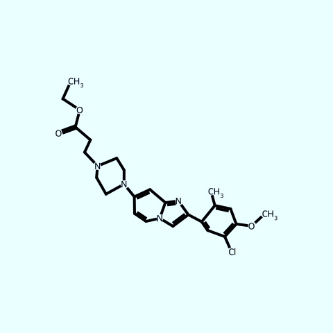 CCOC(=O)CCN1CCN(c2ccn3cc(-c4cc(Cl)c(OC)cc4C)nc3c2)CC1